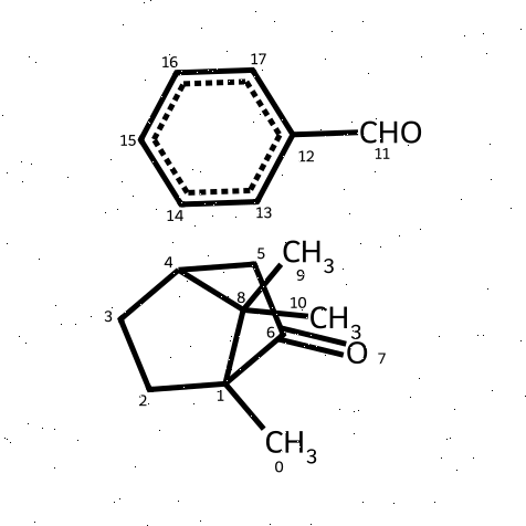 CC12CCC(CC1=O)C2(C)C.O=Cc1ccccc1